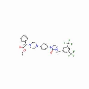 CCOC(=O)[C@@H](c1ccccc1)N1CCN(c2ccc(-n3ccn([C@@H](C)c4cc(C(F)(F)F)cc(C(F)(F)F)c4)c3=O)cc2)CC1